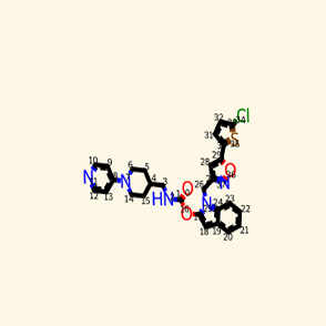 O=C(NCC1CCN(c2ccncc2)CC1)Oc1cc2ccccc2n1Cc1cc(-c2ccc(Cl)s2)on1